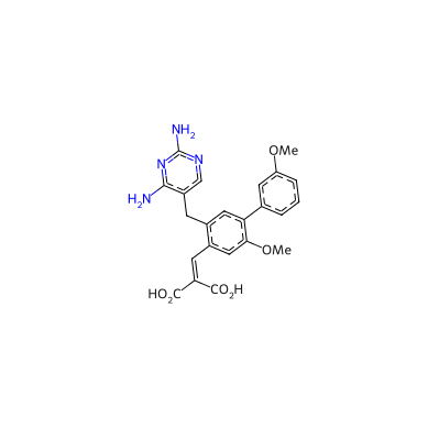 COc1cccc(-c2cc(Cc3cnc(N)nc3N)c(C=C(C(=O)O)C(=O)O)cc2OC)c1